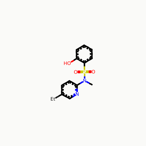 CCc1ccc(N(C)S(=O)(=O)c2ccccc2O)nc1